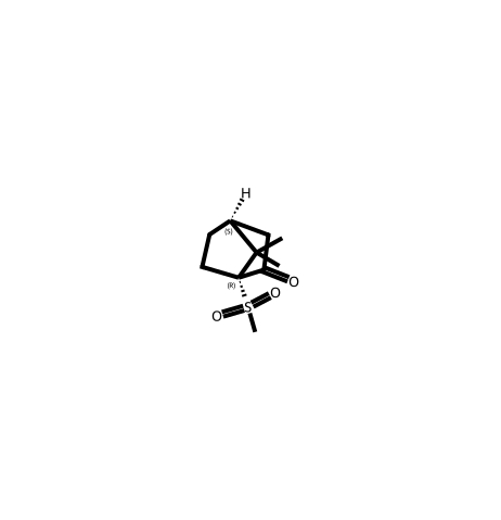 CC1(C)[C@H]2CC[C@]1(S(C)(=O)=O)C(=O)C2